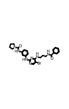 O=C(NCCCNc1nc(Nc2cccc(NC(=O)N3CCCC3)c2)ncc1Br)c1ccccc1